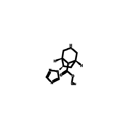 CC(C)(C)OC(=O)N1[C@@H]2CNC[C@H]1[C@@H](n1cncn1)C2